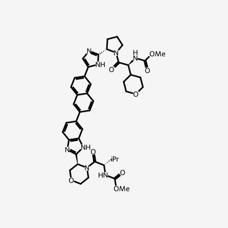 COC(=O)N[C@H](C(=O)N1CCOC[C@H]1c1nc2ccc(-c3ccc4cc(-c5cnc([C@@H]6CCCN6C(=O)[C@@H](NC(=O)OC)C6CCOCC6)[nH]5)ccc4c3)cc2[nH]1)C(C)C